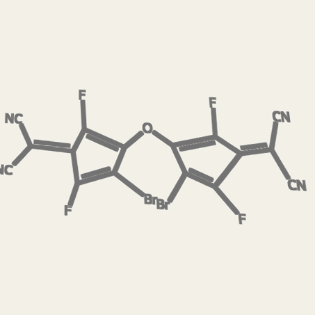 N#CC(C#N)=C1C(F)=C(Br)C(OC2=C(F)C(=C(C#N)C#N)C(F)=C2Br)=C1F